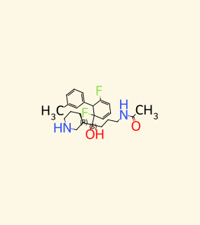 CC(=O)NCCC[C@](O)([C@@H]1CCCNC1)C1(F)C=CC=C(F)C1c1cccc(C)c1